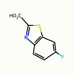 O=C(O)c1nc2ccc(F)cc2s1